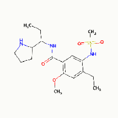 CCc1cc(OC)c(C(=O)NC(CC)C2CCCN2)cc1NS(C)(=O)=O